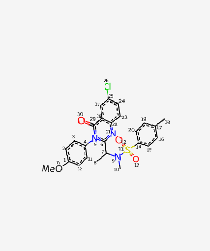 COc1ccc(-n2c(C(C)N(C)S(=O)(=O)c3ccc(C)cc3)nc3ccc(Cl)cc3c2=O)cc1